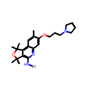 CCNc1nc2cc(OCCCN3CCCC3)c(C)cc2c2c1C(C)(C)OC2(C)C